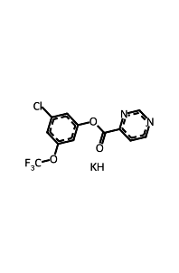 O=C(Oc1cc(Cl)cc(OC(F)(F)F)c1)c1ccncn1.[KH]